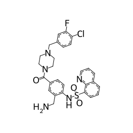 NCc1cc(C(=O)N2CCN(Cc3ccc(Cl)c(F)c3)CC2)ccc1NS(=O)(=O)c1cccc2cccnc12